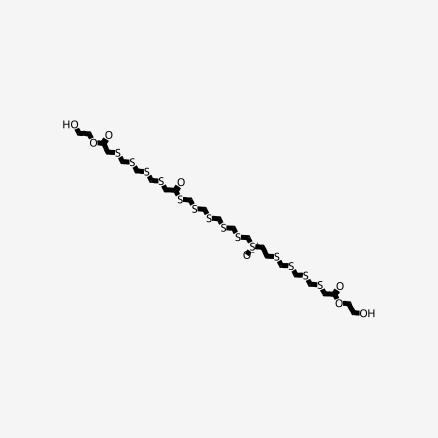 O=C(CSCSCSCSCC[S+]([O-])CSCSCSCSCSC(=O)CSCSCSCSCC(=O)OCCO)OCCO